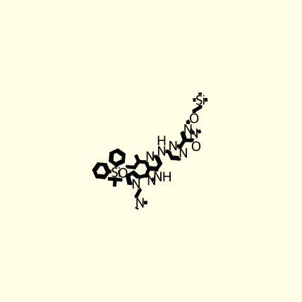 CC(CCO[Si](c1ccccc1)(c1ccccc1)C(C)(C)C)c1nc(Nc2ccnc(-c3cn(COCC[Si](C)(C)C)n(C)c3=O)n2)cc2[nH]nc(-c3cccn3CCN(C)C)c12